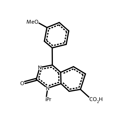 COc1cccc(-c2nc(=O)n(C(C)C)c3cc(C(=O)O)ccc23)c1